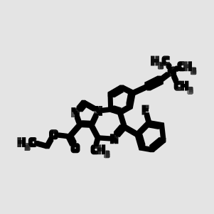 CCOC(=O)c1ncn2c1C(C)N=C(c1ccccc1F)c1cc(C#C[Si](C)(C)C)ccc1-2